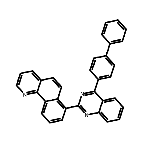 c1ccc(-c2ccc(-c3nc(-c4cccc5c4ccc4cccnc45)nc4ccccc34)cc2)cc1